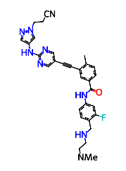 CNCCNCc1ccc(NC(=O)c2ccc(C)c(C#Cc3cnc(Nc4cnn(CCC#N)c4)nc3)c2)cc1F